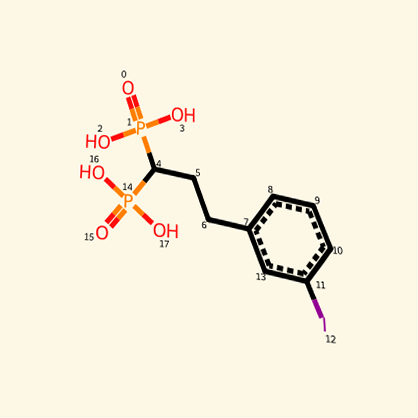 O=P(O)(O)C(CCc1cccc(I)c1)P(=O)(O)O